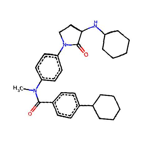 CN(C(=O)c1ccc(C2CCCCC2)cc1)c1ccc(N2CCC(NC3CCCCC3)C2=O)cc1